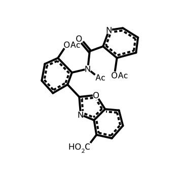 CC(=O)Oc1cccnc1C(=O)N(C(C)=O)c1c(OC(C)=O)cccc1-c1nc2c(C(=O)O)cccc2o1